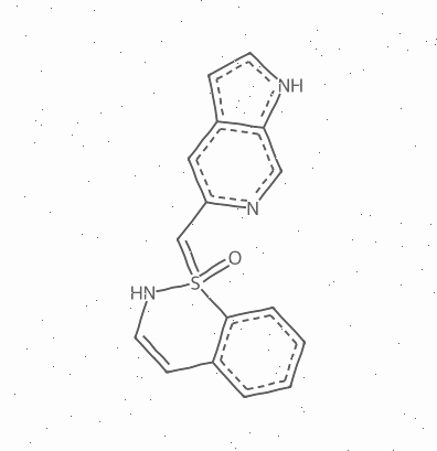 O=S1(=Cc2cc3cc[nH]c3cn2)NC=Cc2ccccc21